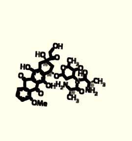 COc1cccc2c1C(=O)c1c(O)c3c(c(O)c1C2=O)C[C@@](O)(C(=O)CO)C[C@@H]3OC1CC(N(C(=O)[C@H](C)N)C(=O)[C@H](C)N)C(O)C(C)O1